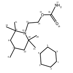 C1CCCCC1.CC1CC(C)(C)N(CCOC(N)=O)C(C)(C)C1